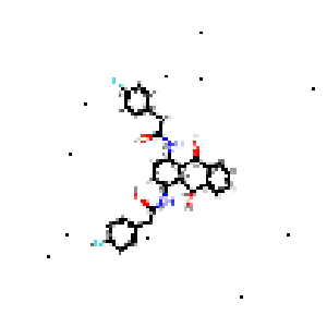 O=C(Cc1ccc(F)cc1)Nc1ccc(NC(=O)Cc2ccc(F)cc2)c2c1C(=O)c1ccccc1C2=O